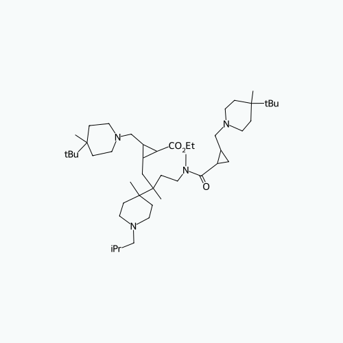 CCOC(=O)C1C(CN2CCC(C)(C(C)(C)C)CC2)C1CC(C)(CCN(C)C(=O)C1CC1CN1CCC(C)(C(C)(C)C)CC1)C1(C)CCN(CC(C)C)CC1